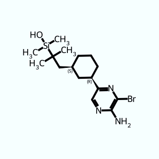 CC(C)(C[C@H]1CCC[C@@H](c2cnc(N)c(Br)n2)C1)[Si](C)(C)O